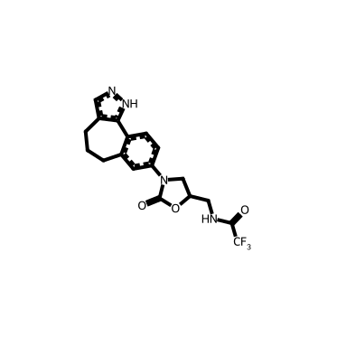 O=C1OC(CNC(=O)C(F)(F)F)CN1c1ccc2c(c1)CCCc1cn[nH]c1-2